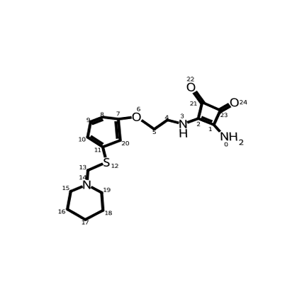 Nc1c(NCCOc2cccc(SCN3CCCCC3)c2)c(=O)c1=O